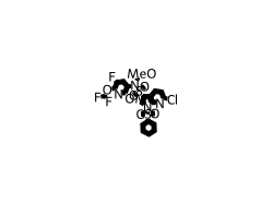 COCN(c1cc(F)c(OC(F)F)nc1OC)S(=O)(=O)c1cn(S(=O)(=O)c2ccccc2)c2nc(Cl)ccc12